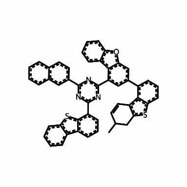 CC1C=Cc2c(sc3cccc(-c4cc(-c5nc(-c6ccc7ccccc7c6)nc(-c6cccc7c6sc6ccccc67)n5)c5c(c4)oc4ccccc45)c23)C1